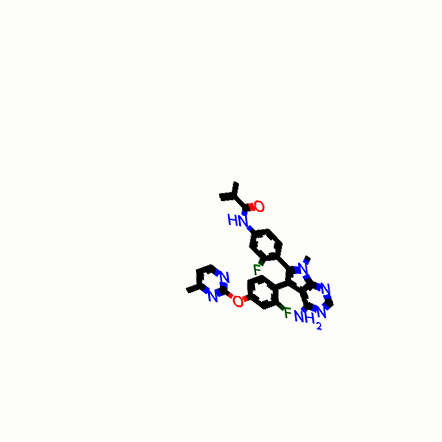 C=C(C)C(=O)Nc1ccc(-c2c(-c3ccc(Oc4nccc(C)n4)cc3F)c3c(N)ncnc3n2C)c(F)c1